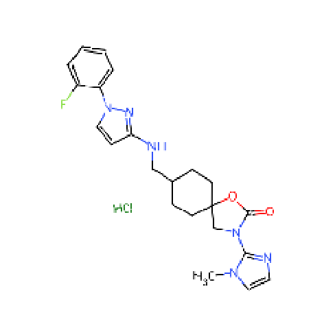 Cl.Cn1ccnc1N1CC2(CCC(CNc3ccn(-c4ccccc4F)n3)CC2)OC1=O